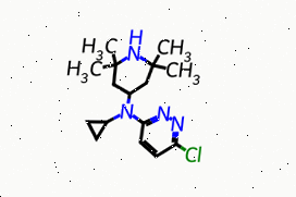 CC1(C)CC(N(c2ccc(Cl)nn2)C2CC2)CC(C)(C)N1